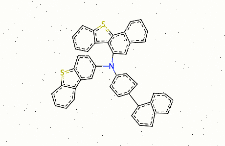 c1ccc2c(-c3ccc(N(c4ccc5sc6ccccc6c5c4)c4cc5ccccc5c5sc6ccccc6c45)cc3)cccc2c1